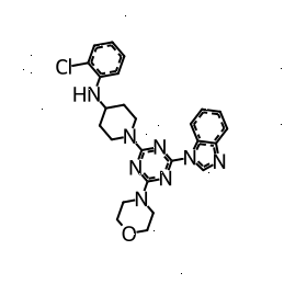 Clc1ccccc1NC1CCN(c2nc(N3CCOCC3)nc(-n3cnc4ccccc43)n2)CC1